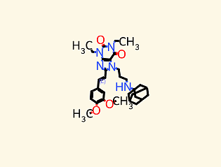 CCn1c(=O)c2c(nc(/C=C/c3ccc(OC)c(OC)c3)n2CCCNC23CC4CC(CC(C4)C2)C3)n(CC)c1=O